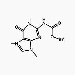 CC(C)OC(=O)Nc1nc2c(c(=O)[nH]1)[n+](C)cn2C